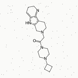 O=C(CN1CCc2c([nH]c3c2=NCCC=3)C1)N1CCN(C2CCC2)CC1